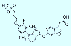 Cc1cc(OCCCS(C)(=O)=O)c(F)c(C)c1-c1cccc2c1C=CC2Oc1cc2c(cn1)[C@@H](CC(=O)O)CO2